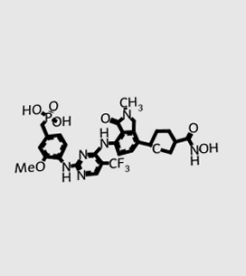 COc1cc(CP(=O)(O)O)ccc1Nc1ncc(C(F)(F)F)c(Nc2ccc(C3CCC(C(=O)NO)CC3)c3c2C(=O)N(C)C3)n1